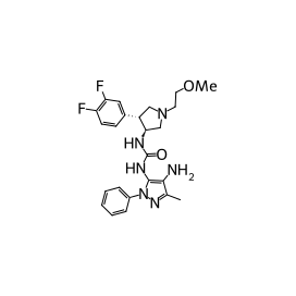 COCCN1C[C@@H](NC(=O)Nc2c(N)c(C)nn2-c2ccccc2)[C@H](c2ccc(F)c(F)c2)C1